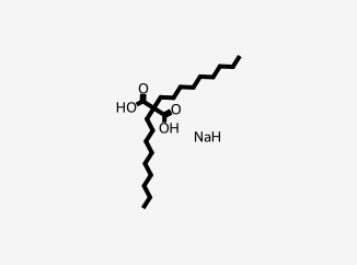 CCCCCCCCCC(CCCCCCCCC)(C(=O)O)C(=O)O.[NaH]